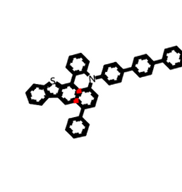 c1ccc(-c2ccc(-c3ccc(N(c4ccc(-c5ccccc5)cc4)c4ccccc4-c4cccc5c4sc4ccccc45)cc3)cc2)cc1